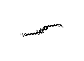 CCCCCCC=CC(=O)Oc1cnc(-c2ccc(CCCCCCCC)cc2)nc1